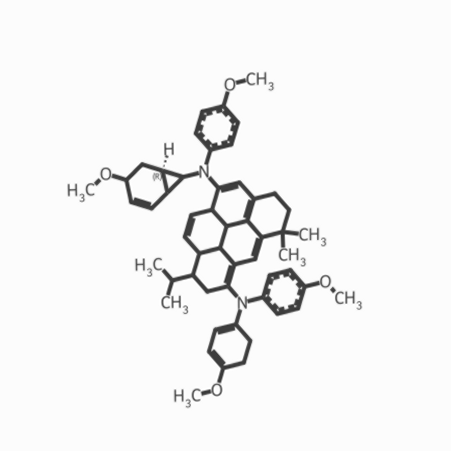 COC1=CC=C(N(C2=C3C=C4C5=C(C=C(N(c6ccc(OC)cc6)C6C7C=CC(OC)C[C@H]76)C6C=CC(C(C(C)C)C2)C3C56)CCC4(C)C)c2ccc(OC)cc2)CC1